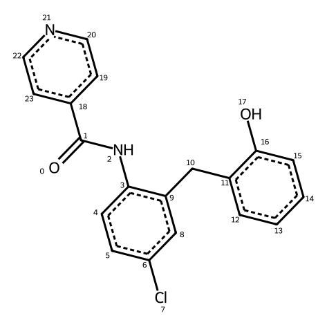 O=C(Nc1ccc(Cl)cc1Cc1ccccc1O)c1ccncc1